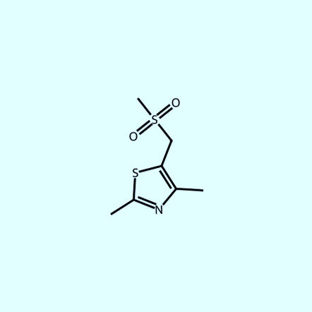 Cc1nc(C)c(CS(C)(=O)=O)s1